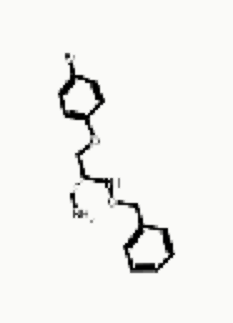 NC[C@H](COc1ccc(Br)cc1)NOCc1ccccc1